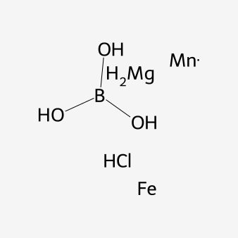 Cl.OB(O)O.[Fe].[MgH2].[Mn]